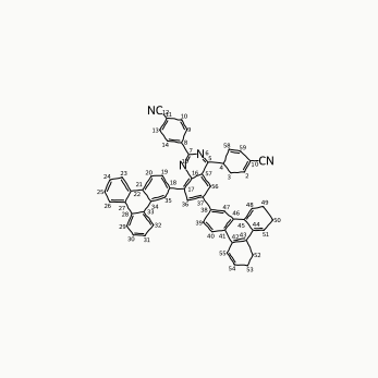 N#CC1=CCC(c2nc(-c3ccc(C#N)cc3)nc3c(-c4ccc5c6ccccc6c6ccccc6c5c4)cc(-c4ccc5c6c(c7c(c5c4)=CCCC=7)CCC=C6)cc23)C=C1